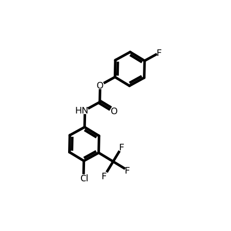 O=C(Nc1ccc(Cl)c(C(F)(F)F)c1)Oc1ccc(F)cc1